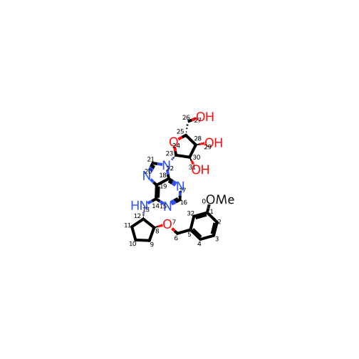 COc1cccc(CO[C@H]2CCC[C@@H]2Nc2ncnc3c2ncn3[C@@H]2O[C@H](CO)[C@@H](O)[C@H]2O)c1